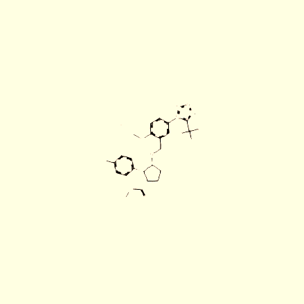 COC(=O)[C@H]1CC[C@H](NCc2cc(-n3nnnc3C(F)(F)F)ccc2SC)[C@@H]1c1ccc(F)cc1.Cl